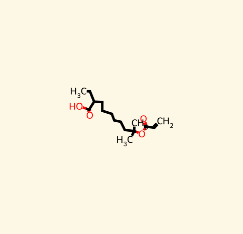 C=CC(=O)OC(C)(C)CCCCCCC(CC)C(=O)O